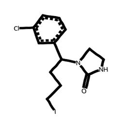 O=C1NCCN1C(CCCI)c1cccc(Cl)c1